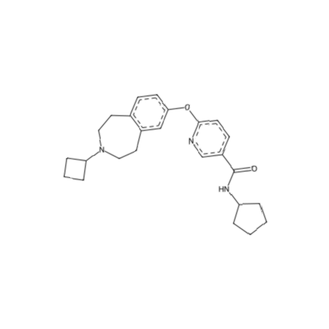 O=C(NC1CCCC1)c1ccc(Oc2ccc3c(c2)CCN(C2CCC2)CC3)nc1